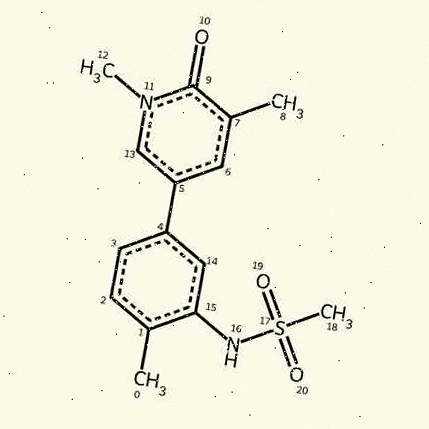 Cc1ccc(-c2cc(C)c(=O)n(C)c2)cc1NS(C)(=O)=O